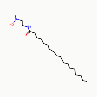 CCCCCCCCCCCCCCCCCC(=O)NCCN(C)O